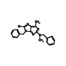 CN(Cc1ccccc1)c1nc(N)c2nc(Br)n(Cc3ccccc3)c2n1